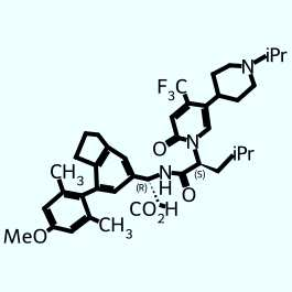 COc1cc(C)c(-c2cc([C@@H](CC(=O)O)NC(=O)[C@H](CC(C)C)n3cc(C4CCN(C(C)C)CC4)c(C(F)(F)F)cc3=O)cc3c2CCC3)c(C)c1